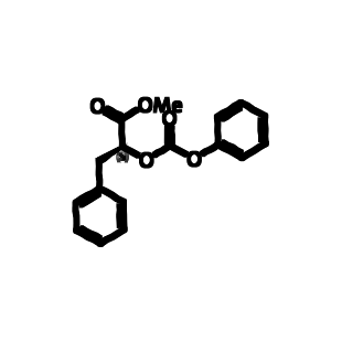 COC(=O)[C@H](Cc1ccccc1)OC(=O)Oc1ccccc1